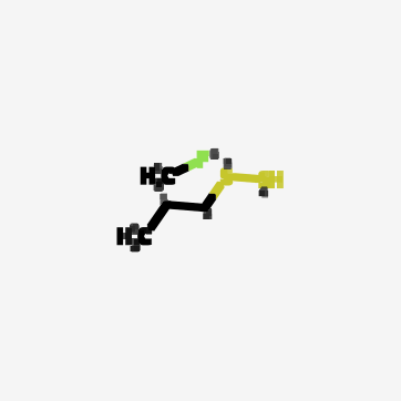 CCCSS.CF